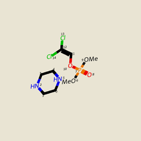 C1CNCCN1.COP(=O)(OC)OC=C(Cl)Cl